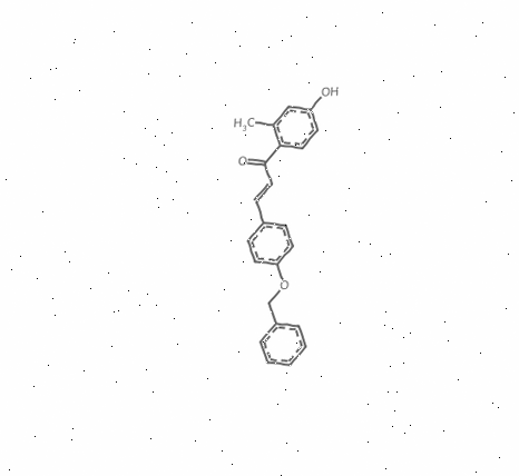 Cc1cc(O)ccc1C(=O)C=Cc1ccc(OCc2ccccc2)cc1